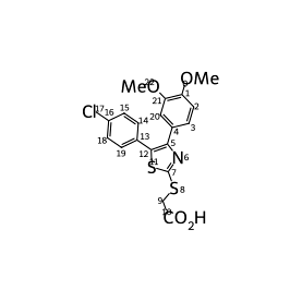 COc1ccc(-c2nc(SCC(=O)O)sc2-c2ccc(Cl)cc2)cc1OC